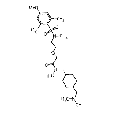 COc1cc(C)c(S(=O)(=O)N(C)CCOCC(=O)N(C)C[C@H]2CC[C@H](CN(C)C)CC2)c(C)c1